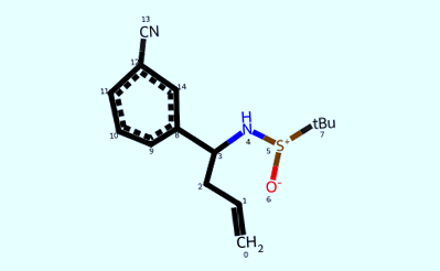 C=CCC(N[S+]([O-])C(C)(C)C)c1cccc(C#N)c1